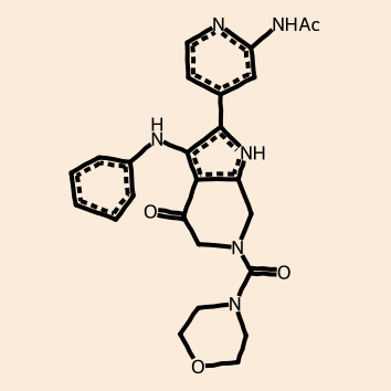 CC(=O)Nc1cc(-c2[nH]c3c(c2Nc2ccccc2)C(=O)CN(C(=O)N2CCOCC2)C3)ccn1